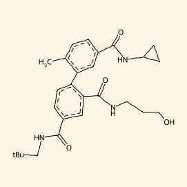 Cc1ccc(C(=O)NC2CC2)cc1-c1ccc(C(=O)NCC(C)(C)C)cc1C(=O)NCCCO